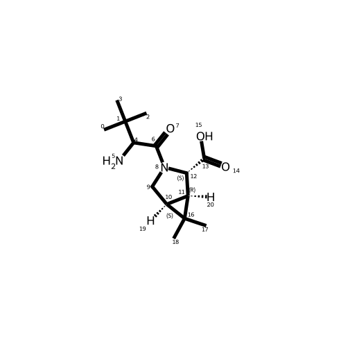 CC(C)(C)C(N)C(=O)N1C[C@H]2[C@@H]([C@H]1C(=O)O)C2(C)C